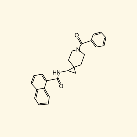 O=C(NC1CC12CCN(C(=O)c1ccccc1)CC2)c1cccc2ccccc12